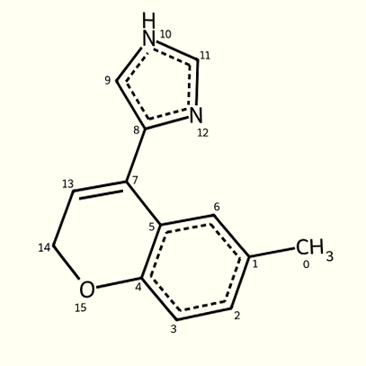 Cc1ccc2c(c1)C(c1c[nH]cn1)=CCO2